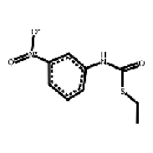 CCSC(=O)Nc1cccc([N+](=O)[O-])c1